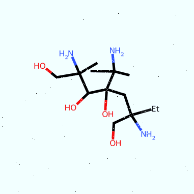 CCC(N)(CO)CC(O)(C(O)C(C)(N)CO)C(C)(C)N